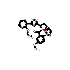 CCOc1ncccc1-c1noc(C2CCCN2C(=O)c2cc(OC)ccc2-n2nccn2)n1